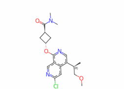 COC[C@H](C)c1cnc(O[C@H]2C[C@H](C(=O)N(C)C)C2)c2cnc(Cl)cc12